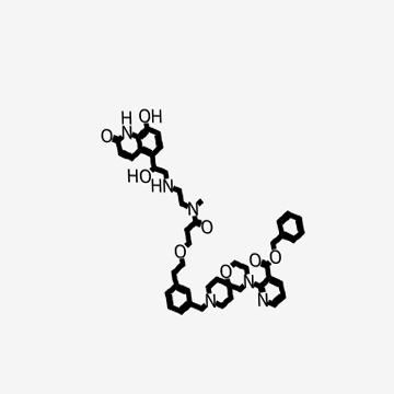 CN(CCNCC(O)c1ccc(O)c2[nH]c(=O)ccc12)C(=O)CCOCCc1cccc(CN2CCC3(CC2)CN(c2ncccc2C(=O)OCc2ccccc2)CCO3)c1